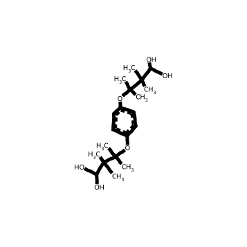 CC(C)(Oc1ccc(OC(C)(C)C(C)(C)C(O)O)cc1)C(C)(C)C(O)O